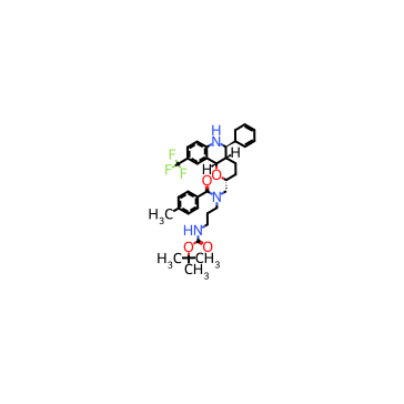 Cc1ccc(C(=O)N(CCCNC(=O)OC(C)(C)C)C[C@H]2CC[C@@H]3[C@H](O2)c2cc(C(F)(F)F)ccc2N[C@H]3C2C=CC=CC2)cc1